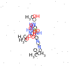 CO[C@H](C)COc1nc2[nH]cc(F)c2cc1Oc1cc(N2CCC3(CC2)CN([C@@H]2CCC[C@@H]2c2ccccc2C(C)C)C3)ccc1C(=O)NS(=O)(=O)c1ccc(NC[C@H]2CC[C@](C)(O)CC2)c([N+](=O)[O-])c1